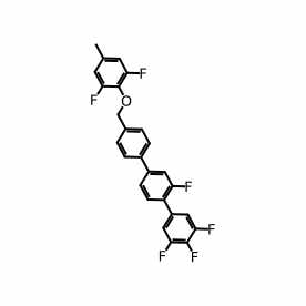 Cc1cc(F)c(OCc2ccc(-c3ccc(-c4cc(F)c(F)c(F)c4)c(F)c3)cc2)c(F)c1